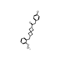 O=C(Cc1ccc(Cl)cc1)N1CC2(CN(Cc3ccccc3OC(F)(F)F)C2)C1